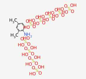 Cc1ccc(N)c(C)c1.O=S(=O)(O)O.O=S(=O)(O)O.O=S(=O)(O)O.O=S(=O)(O)O.O=S(=O)(O)O.O=S(=O)(O)O.O=S(=O)(O)O.O=S(=O)(O)O.O=S(=O)(O)O